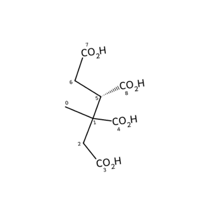 CC(CC(=O)O)(C(=O)O)[C@H](CC(=O)O)C(=O)O